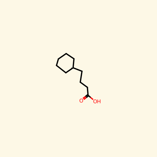 O=C(O)CCC[C]1CCCCC1